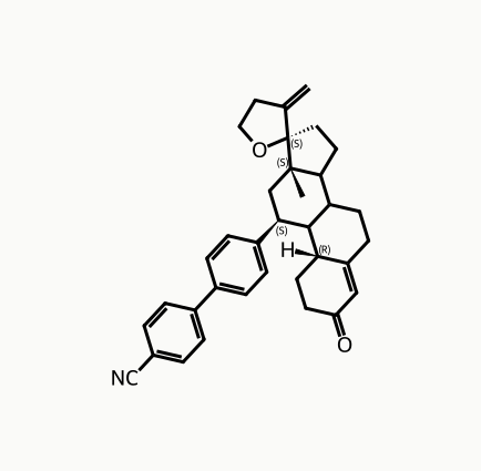 C=C1CCO[C@@]12CCC1C3CCC4=CC(=O)CC[C@@H]4C3[C@@H](c3ccc(-c4ccc(C#N)cc4)cc3)C[C@@]12C